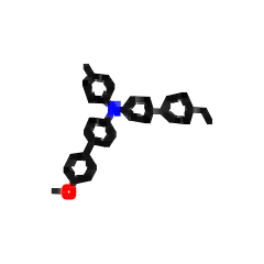 CCc1ccc(-c2ccc(N(c3ccc(C)cc3)c3ccc(-c4ccc(OC)cc4)cc3)cc2)cc1